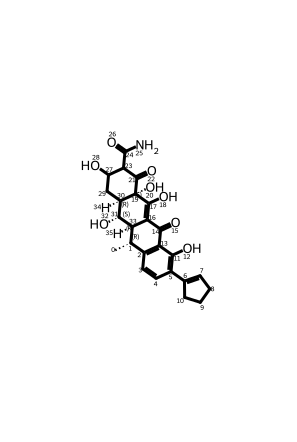 C[C@H]1c2ccc(C3=CCCC3)c(O)c2C(=O)C2=C(O)[C@]3(O)C(=O)C(C(N)=O)C(O)C[C@@H]3[C@@H](O)[C@@H]21